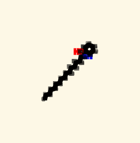 CCCCCCCCCCCCCCCCNC1(O)CCCCC1